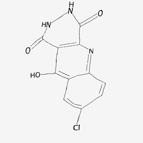 O=c1[nH][nH]c(=O)c2c(O)c3cc(Cl)ccc3nc12